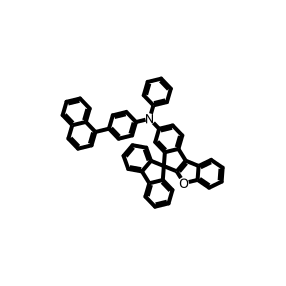 c1ccc(N(c2ccc(-c3cccc4ccccc34)cc2)c2ccc3c(c2)C2(c4ccccc4-c4ccccc42)c2oc4ccccc4c2-3)cc1